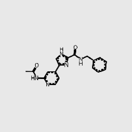 CC(=O)Nc1cc(-c2c[nH]c(C(=O)NCc3ccccc3)n2)ccn1